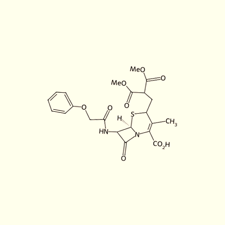 COC(=O)C(CC1S[C@@H]2C(NC(=O)COc3ccccc3)C(=O)N2C(C(=O)O)=C1C)C(=O)OC